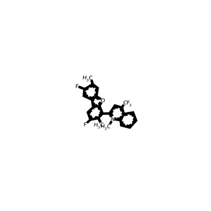 Cc1cc2oc3c(-c4cc(C(F)(F)F)c5ccccc5[n+]4C)c(C)c(F)cc3c2cc1F